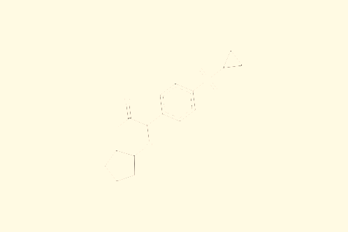 O=C(O)C(OC1CCCC1)c1ccc(S(=O)(=O)C2CC2)cc1